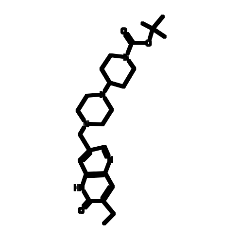 CCc1cc2ncc(CN3CCN(C4CCN(C(=O)OC(C)(C)C)CC4)CC3)cc2[nH]c1=O